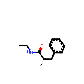 CCNC(=O)[C@@H](C)Cc1ccccc1